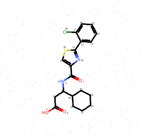 O=C(O)CC(NC(=O)c1csc(-c2ccccc2Cl)n1)C1CCCCC1